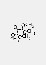 COC(OC)C(=O)C(OC)OC